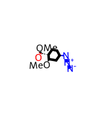 COC(=O)[C@@H]1CC[C@@H](N=[N+]=[N-])C[C@H]1OC